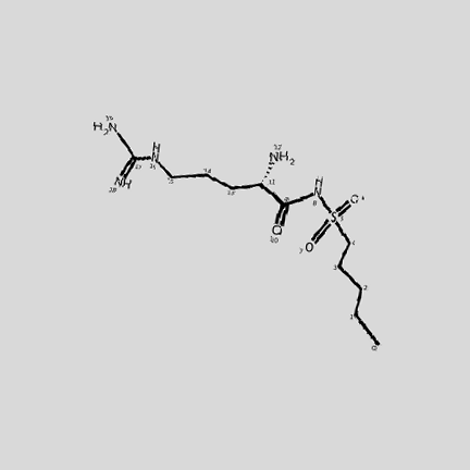 CCCCCS(=O)(=O)NC(=O)[C@@H](N)CCCNC(=N)N